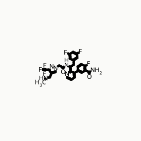 CNCc1cn(CC(=O)NC(Cc2cc(F)cc(F)c2)c2ncccc2-c2ccc(F)c(C(N)=O)c2)nc1C(F)(F)F